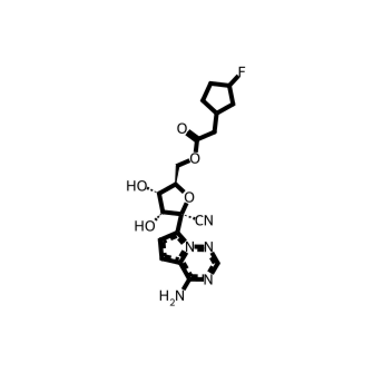 N#C[C@@]1(c2ccc3c(N)ncnn23)O[C@H](COC(=O)CC2CCC(F)C2)[C@@H](O)[C@H]1O